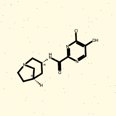 O=C(N[C@@H]1C[C@H]2CCN(C2)C1)c1ncc(O)c(Cl)n1